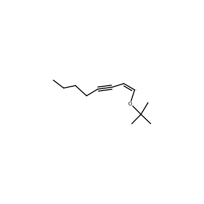 CCCCC#C/C=[C]\OC(C)(C)C